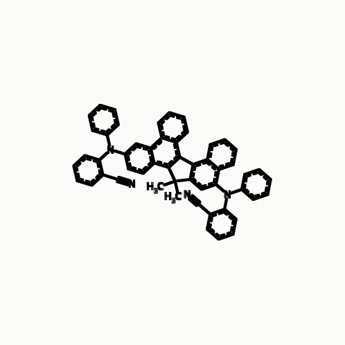 CC1(C)c2cc(N(c3ccccc3)c3ccccc3C#N)c3ccccc3c2-c2c1c1ccc(N(c3ccccc3)c3ccccc3C#N)cc1c1ccccc21